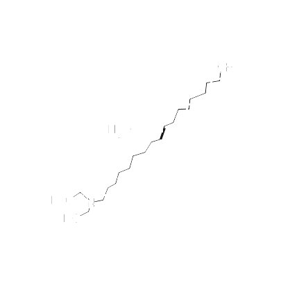 CCCCCCCCC=CCCCCCCCCN(CC)CC.O